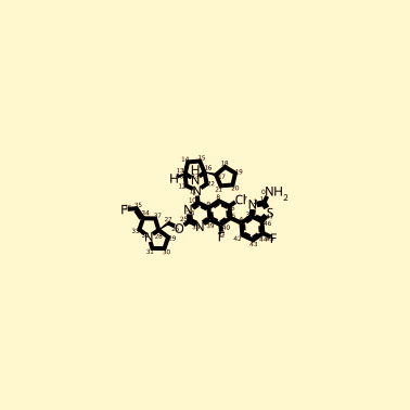 Nc1nc2c(-c3c(Cl)cc4c(N5C[C@@H]6CC[C@](C7CCCC7)(C5)N6)nc(OC[C@@]56CCCN5C/C(=C\F)C6)nc4c3F)ccc(F)c2s1